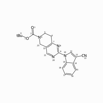 CC(C)(C)OC(=O)N1CCc2nc(-n3cc(C#N)c4ccccc43)ncc2C1